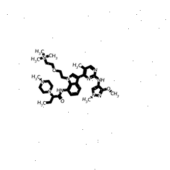 CCC(C(=O)Nc1cccc2c(-c3nc(Nc4cn(C)nc4OC)ncc3C)cn(CCOCC[Si](C)(C)C)c12)N1CCN(C)CC1